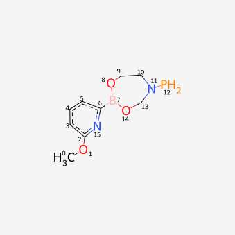 COc1cccc(B2OCCN(P)CO2)n1